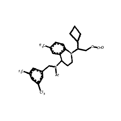 CC(=O)N(Cc1cc(C(F)(F)F)cc(C(F)(F)F)c1)C1CCN(C(COC=O)C2CCC2)c2ccc(C(F)(F)F)cc21